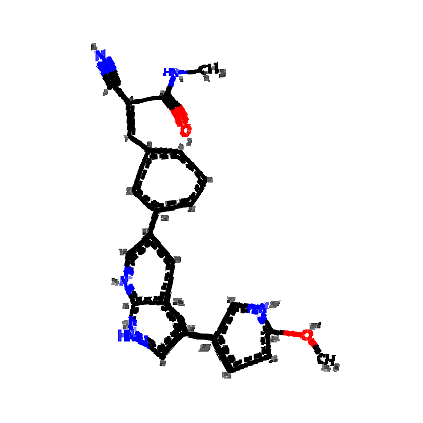 CNC(=O)C(C#N)=Cc1cccc(-c2cnc3[nH]cc(-c4ccc(OC)nc4)c3c2)c1